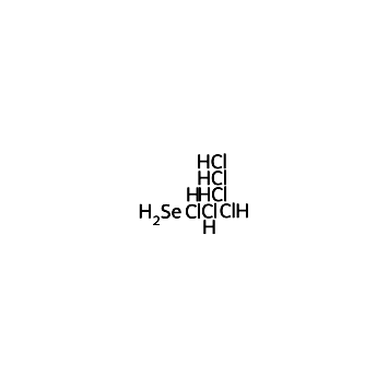 Cl.Cl.Cl.Cl.Cl.Cl.[SeH2]